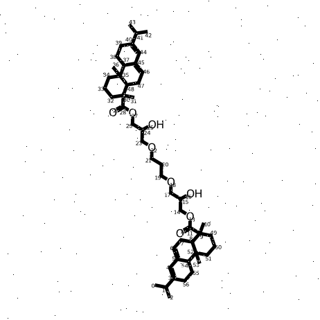 CC(C)C1=CC2=CCC3C(C)(C(=O)OCC(O)COCCCOCC(O)COC(=O)C4(C)CCCC5(C)C6CCC(C(C)C)=CC6=CCC45)CCCC3(C)C2CC1